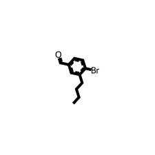 CCCCc1cc(C=O)ccc1Br